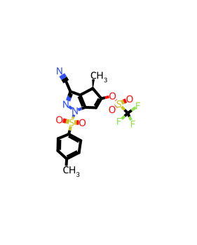 Cc1ccc(S(=O)(=O)n2nc(C#N)c3c2C=C(OS(=O)(=O)C(F)(F)F)[C@@H]3C)cc1